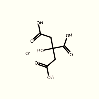 O=C(O)CC(O)(CC(=O)O)C(=O)O.[Cr]